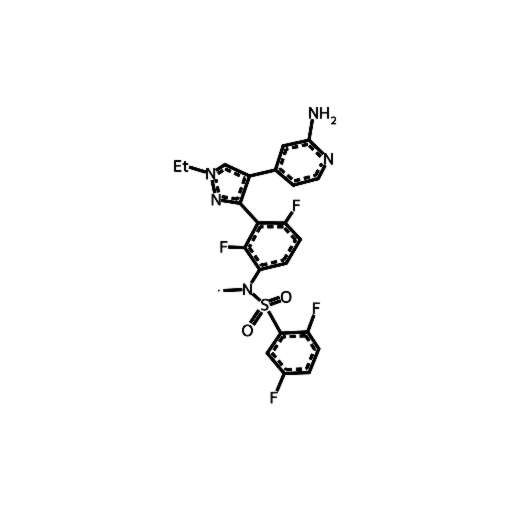 [CH2]N(c1ccc(F)c(-c2nn(CC)cc2-c2ccnc(N)c2)c1F)S(=O)(=O)c1cc(F)ccc1F